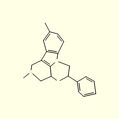 Cc1ccc2c(c1)c1c3n2CC(c2ccccc2)SC3CN(C)C1